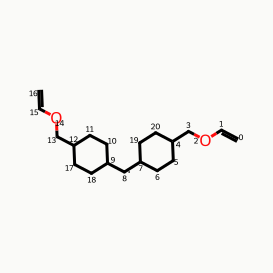 C=COCC1CCC([CH]C2CCC(COC=C)CC2)CC1